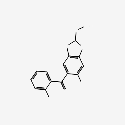 Cc1cc2c(cc1C(=O)c1ccccc1F)OC(OC(=O)O)O2